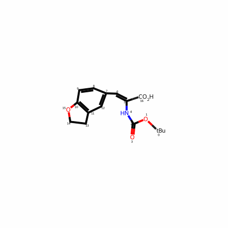 CC(C)(C)OC(=O)NC(=Cc1ccc2c(c1)CCO2)C(=O)O